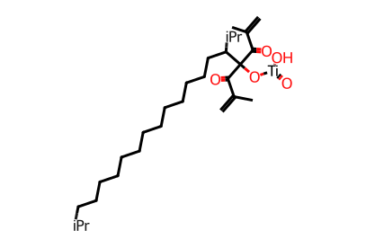 C=C(C)C(=O)C([O][Ti](=[O])[OH])(C(=O)C(=C)C)C(CCCCCCCCCCCCCC(C)C)C(C)C